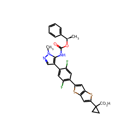 C[C@@H](OC(=O)Nc1c(-c2cc(F)c(-c3cc4sc(C5(C(=O)O)CC5)cc4s3)cc2F)cnn1C)c1ccccc1